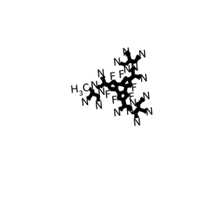 Cc1nc(/C(C#N)=C2/C(F)=c3c4c(c5c(c3=C2F)=C(F)/C(=C(\C#N)c2nc(C#N)c(C#N)c(C#N)n2)C=5F)=C(F)/C(=C(\C#N)c2nc(C#N)c(C#N)c(C#N)n2)C=4F)nc(C#N)c1C#N